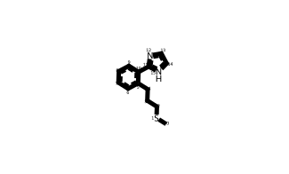 CSCCCc1ccccc1-c1ncc[nH]1